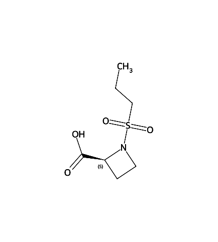 CCCS(=O)(=O)N1CC[C@H]1C(=O)O